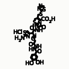 Cl.Nc1nc(C(=NOCC(=O)NNC(=O)c2ccc(O)c(O)c2)C(=O)NC2C(=O)N3C(C(=O)O)=C(CSc4nncs4)CS[C@@H]23)cs1